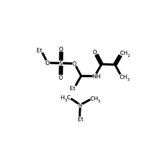 C=C(C)C(=O)NC(CC)OS(=O)(=O)OCC.CCN(C)C